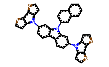 c1ccc2cc(-n3c4cc(-n5c6ccsc6c6sccc65)ccc4c4ccc(-n5c6ccsc6c6sccc65)cc43)ccc2c1